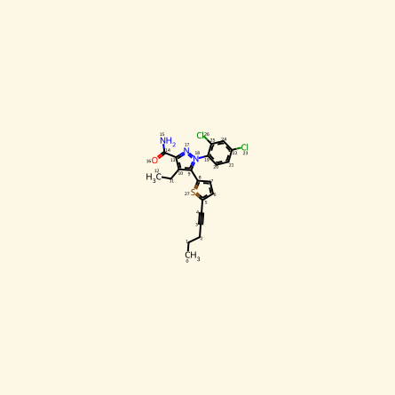 CCCC#Cc1ccc(-c2c(CC)c(C(N)=O)nn2-c2ccc(Cl)cc2Cl)s1